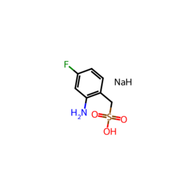 Nc1cc(F)ccc1CS(=O)(=O)O.[NaH]